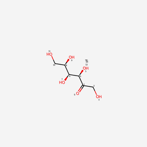 O=C(CO)[C@H](O)[C@@H](O)[C@H](O)CO.[Ti]